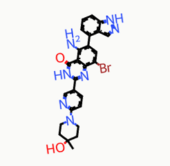 CC1(O)CCN(c2ccc(-c3nc4c(Br)cc(-c5cccc6[nH]ncc56)c(N)c4c(=O)[nH]3)cn2)CC1